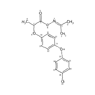 CC(C)=NOC(=O)C(C)Oc1ccc(Oc2ccc(Cl)cc2)cc1